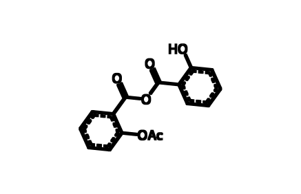 CC(=O)Oc1ccccc1C(=O)OC(=O)c1ccccc1O